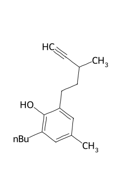 C#CC(C)CCc1cc(C)cc(CCCC)c1O